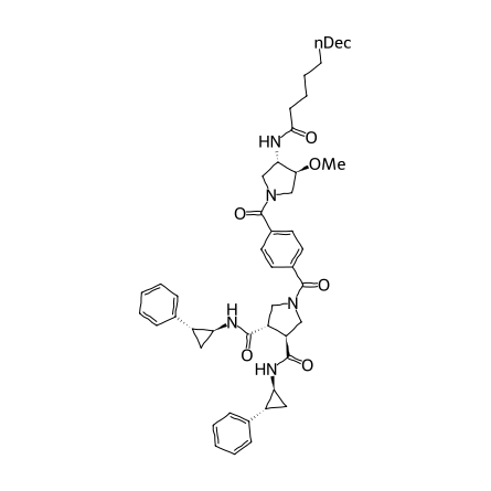 CCCCCCCCCCCCCCC(=O)N[C@H]1CN(C(=O)c2ccc(C(=O)N3C[C@@H](C(=O)N[C@H]4C[C@@H]4c4ccccc4)[C@H](C(=O)N[C@H]4C[C@@H]4c4ccccc4)C3)cc2)C[C@@H]1OC